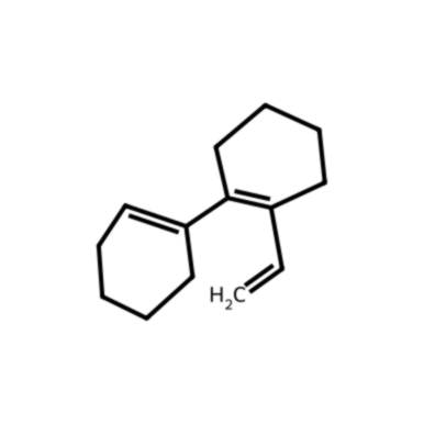 C=CC1=C(C2=CCCCC2)CCCC1